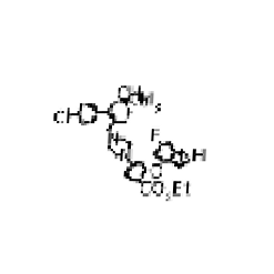 CCOC(=O)c1ccc(N2CCN(CC3=C(c4ccc(Cl)cc4)CC(C)(C)CC3)CC2)cc1Oc1cc(F)cc2[nH]ccc12